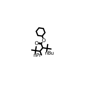 CCCCC(C)(C)C(C(=O)OC1CCCCC1)C(C)C(C)(C)CCC